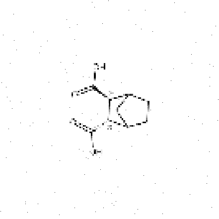 O=C(O)[C@H]1C2CCC(C2)[C@@H]1C(=O)O